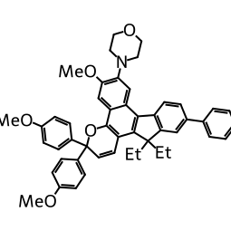 CCC1(CC)c2cc(-c3ccccc3)ccc2-c2c1c1c(c3cc(OC)c(N4CCOCC4)cc23)OC(c2ccc(OC)cc2)(c2ccc(OC)cc2)C=C1